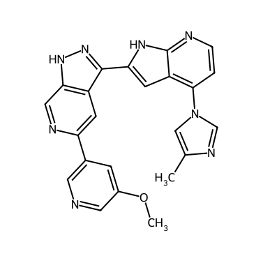 COc1cncc(-c2cc3c(-c4cc5c(-n6cnc(C)c6)ccnc5[nH]4)n[nH]c3cn2)c1